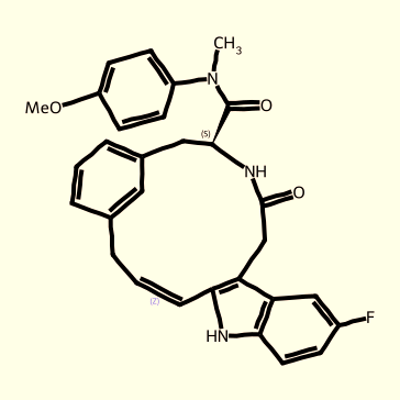 COc1ccc(N(C)C(=O)[C@@H]2Cc3cccc(c3)C/C=C\c3[nH]c4ccc(F)cc4c3CC(=O)N2)cc1